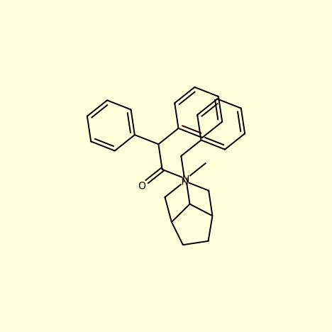 CN(C(=O)C(c1ccccc1)c1ccccc1)C1C2CCC1CN(Cc1ccccc1)C2